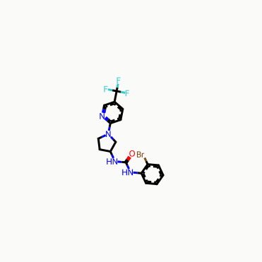 O=C(Nc1ccccc1Br)NC1CCN(c2ccc(C(F)(F)F)cn2)C1